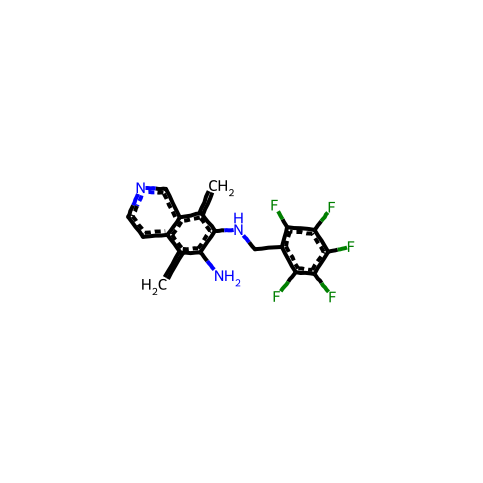 C=c1c(N)c(NCc2c(F)c(F)c(F)c(F)c2F)c(=C)c2cnccc12